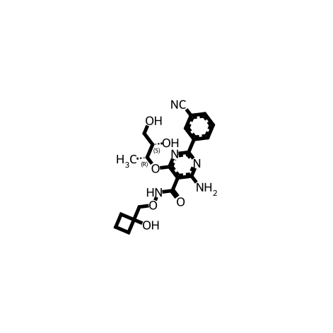 C[C@@H](Oc1nc(-c2cccc(C#N)c2)nc(N)c1C(=O)NOCC1(O)CCC1)[C@@H](O)CO